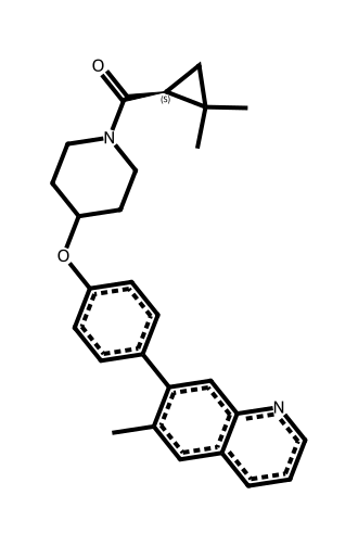 Cc1cc2cccnc2cc1-c1ccc(OC2CCN(C(=O)[C@H]3CC3(C)C)CC2)cc1